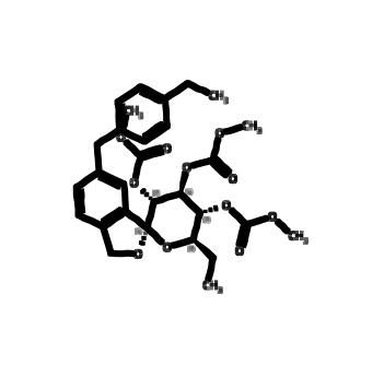 CCc1ccc(Cc2ccc3c(c2)[C@]2(OC3)O[C@H](CC)[C@@H](OC(=O)OC)[C@H](OC(=O)OC)[C@H]2OC(=O)OC)cc1